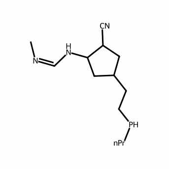 CCCPCCC1CC(C#N)C(N/C=N\C)C1